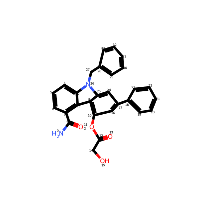 NC(=O)c1cccc2c1c1c(OC(=O)CO)cc(-c3ccccc3)cc1n2Cc1ccccc1